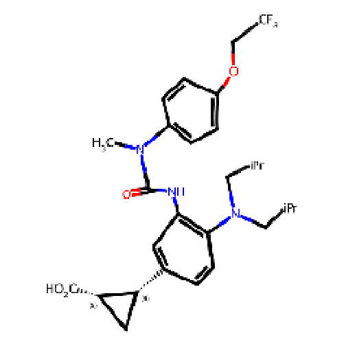 CC(C)CN(CC(C)C)c1ccc([C@@H]2C[C@@H]2C(=O)O)cc1NC(=O)N(C)c1ccc(OCC(F)(F)F)cc1